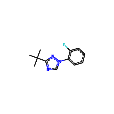 CC(C)(C)c1ncn(-c2ccccc2F)n1